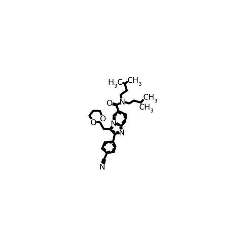 CC(C)CCN(CCC(C)C)C(=O)c1ccc2nc(-c3ccc(C#N)cc3)c(CC3OCCCO3)n2c1